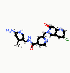 Cc1cc(N)ncc1CNC(=O)c1ccnc(Cn2cc3cc(Cl)cnc3cc2=O)c1